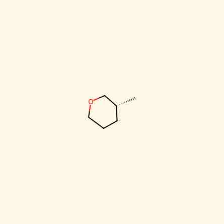 C[C@@H]1[CH]CCOC1